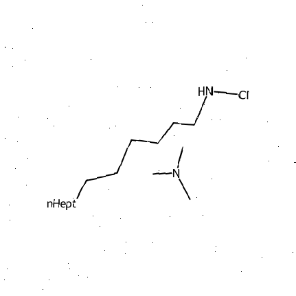 CCCCCCCCCCCCCNCl.CN(C)C